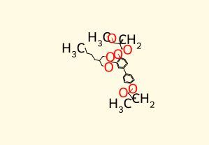 C=C(C)C(=O)Oc1ccc(-c2ccc(OC(=O)C(=C)COC)c(C3OCC(CCCCC)CO3)c2)cc1